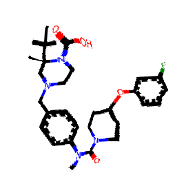 CN(C(=O)N1CCC(Oc2cccc(F)c2)CC1)c1ccc(CN2CCN(C(=O)O)[C@@](C)(C(C)(C)C)C2)cc1